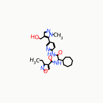 CCc1nocc1C(=O)NC(C(=O)Nc1ccc(-c2c(CO)cnn2C)cn1)C1CCCCCC1